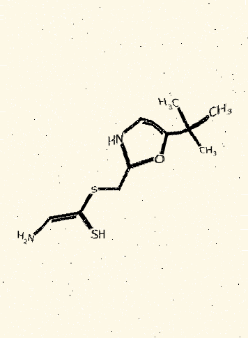 CC(C)(C)C1=CNC(CS/C(S)=C/N)O1